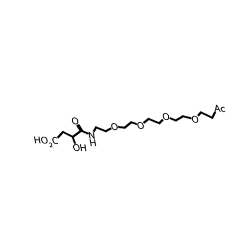 CC(=O)CCOCCOCCOCCOCCNC(=O)C(O)CC(=O)O